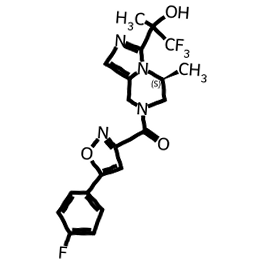 C[C@H]1CN(C(=O)c2cc(-c3ccc(F)cc3)on2)Cc2cnc(C(C)(O)C(F)(F)F)n21